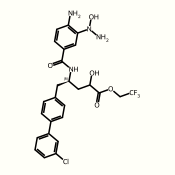 Nc1ccc(C(=O)N[C@H](Cc2ccc(-c3cccc(Cl)c3)cc2)CC(O)C(=O)OCC(F)(F)F)cc1N(N)O